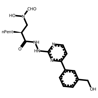 CCCCC[C@@H](CN(O)C=O)C(=O)NNc1nccc(-c2cccc(CO)c2)n1